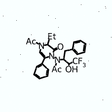 CCC1C(=O)N(N(C(C)=O)C(Cc2ccccc2)C(O)C(F)(F)F)C(c2ccccc2)=CN1C(C)=O